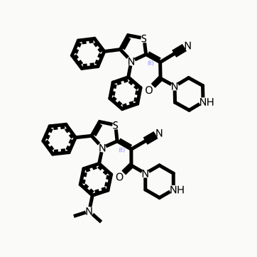 CN(C)c1ccc(N2C(c3ccccc3)=CS/C2=C(\C#N)C(=O)N2CCNCC2)cc1.N#C/C(C(=O)N1CCNCC1)=C1\SC=C(c2ccccc2)N1c1ccccc1